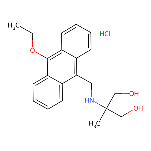 CCOc1c2ccccc2c(CNC(C)(CO)CO)c2ccccc12.Cl